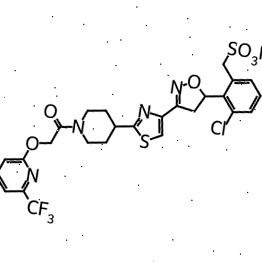 O=C(COc1cccc(C(F)(F)F)n1)N1CCC(c2nc(C3=NOC(c4c(Cl)cccc4CS(=O)(=O)O)C3)cs2)CC1